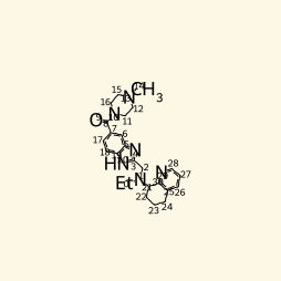 CCN(Cc1nc2cc(C(=O)N3CCN(C)CC3)ccc2[nH]1)C1CCCc2cccnc21